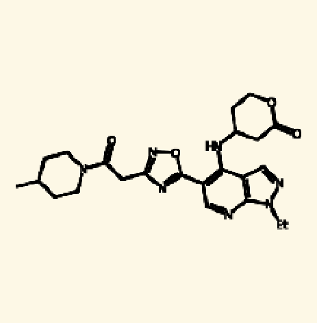 CCn1ncc2c(NC3CCOC(=O)C3)c(-c3nc(CC(=O)N4CCC(C)CC4)no3)cnc21